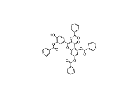 O=C(Oc1cc(OC(=O)c2ccccc2)c2c(=O)c(OC(=O)c3ccccc3)c(-c3ccc(O)c(OC(=O)c4ccccc4)c3)oc2c1)c1ccccc1